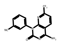 N#Cc1cccc(-n2c(=O)nc(N)c3ccc(C(F)(F)F)nc32)c1